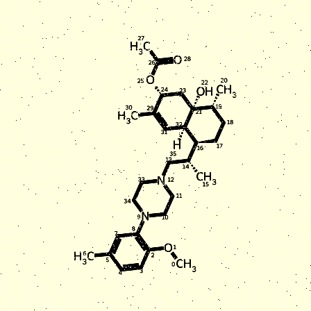 COc1ccc(C)cc1N1CCN(C[C@@H](C)[C@@H]2CC[C@@H](C)[C@]3(O)[C][C@@H](OC(C)=O)C(C)=C[C@H]23)CC1